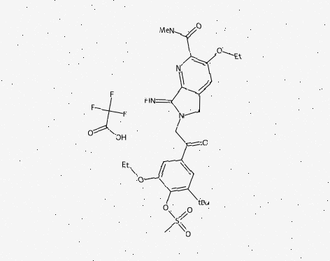 CCOc1cc2c(nc1C(=O)NC)C(=N)N(CC(=O)c1cc(OCC)c(OS(C)(=O)=O)c(C(C)(C)C)c1)C2.O=C(O)C(F)(F)F